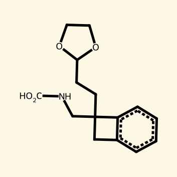 O=C(O)NCC1(CCC2OCCO2)Cc2ccccc21